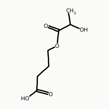 CC(O)C(=O)OCCCC(=O)O